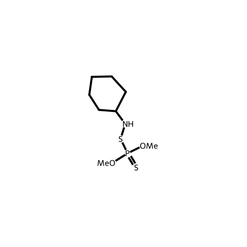 COP(=S)(OC)SNC1CCCCC1